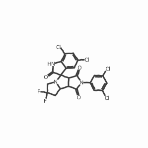 O=C1C2C3CC(F)(F)CN3C3(C(=O)Nc4c(Cl)cc(Cl)cc43)C2C(=O)N1c1cc(Cl)cc(Cl)c1